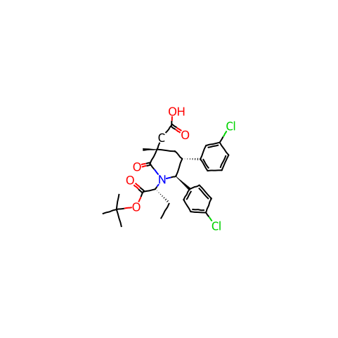 CC[C@H](C(=O)OC(C)(C)C)N1C(=O)[C@](C)(CC(=O)O)C[C@H](c2cccc(Cl)c2)[C@H]1c1ccc(Cl)cc1